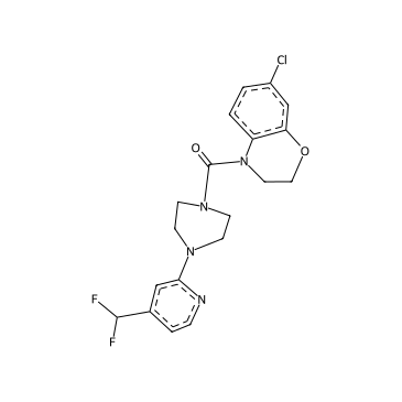 O=C(N1CCN(c2cc(C(F)F)ccn2)CC1)N1CCOc2cc(Cl)ccc21